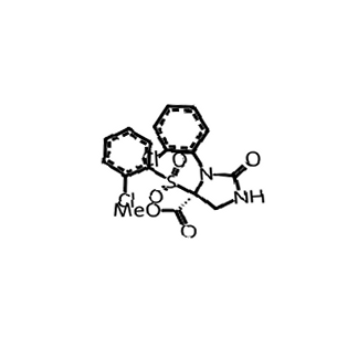 COC(=O)[C@@]1(S(=O)(=O)c2ccccc2Cl)CNC(=O)N1c1ccccc1Cl